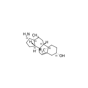 C[C@]12CC[C@H]3[C@@H](CC=C4C[C@@H](O)CC[C@@]43C)[C@@H]1CC[C@@H]2N